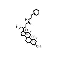 CC(CCC(=O)NCCN1CCCCC1)C1CCC2C3CCC4C[C@H](O)CC[C@]4(C)C3CC[C@]12C